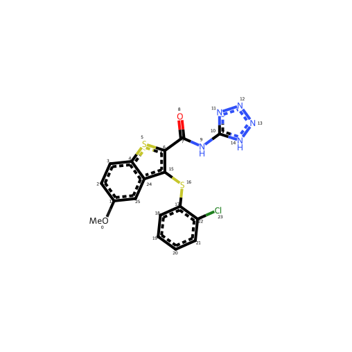 COc1ccc2sc(C(=O)Nc3nnn[nH]3)c(Sc3ccccc3Cl)c2c1